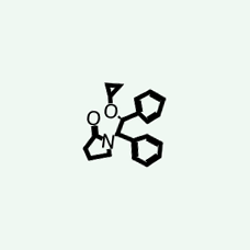 O=C1CCCN1[C@@H](c1ccccc1)[C@H](OC1CC1)c1ccccc1